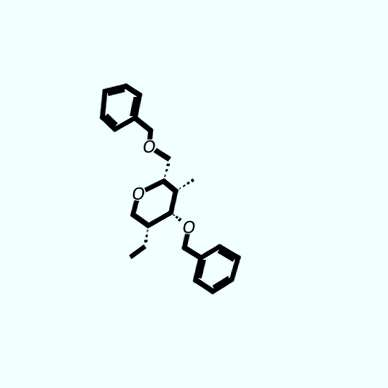 CC[C@@H]1CO[C@H](COCc2ccccc2)[C@H](C)[C@@H]1OCc1ccccc1